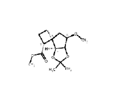 COC(=O)[C@@H]1CC[C@@]12C[C@@H](OC)C1OC(C)(C)O[C@H]12